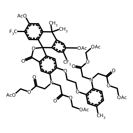 CC(=O)OCOC(=O)CN(CC(=O)OCOC(C)=O)c1ccc(C)cc1OCCOc1cc2c(cc1N(CC(=O)OCOC(C)=O)CC(=O)OCOC(C)=O)C(=O)OC21c2cc(C(F)(F)F)c(OC(C)=O)cc2C(C)(C)c2cc(OC(C)=O)c(C(F)(F)F)cc21